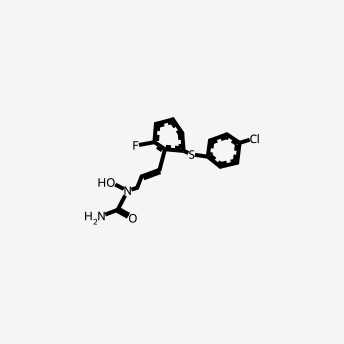 NC(=O)N(O)CC=Cc1c(F)cccc1Sc1ccc(Cl)cc1